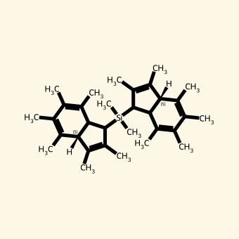 CC1=C(C)C2C([Si](C)(C)C3C(C)=C(C)[C@@H]4C(C)=C(C)C(C)=C(C)C34)C(C)=C(C)[C@@H]2C(C)=C1C